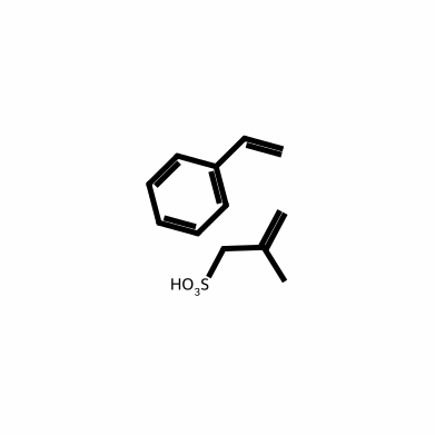 C=C(C)CS(=O)(=O)O.C=Cc1ccccc1